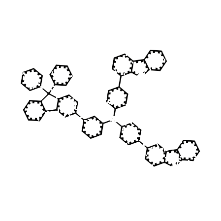 c1ccc(C2(c3ccccc3)c3ccccc3-c3cc(-c4cccc(N(c5ccc(-c6ccc7sc8ccccc8c7c6)cc5)c5ccc(-c6cccc7c6oc6ccccc67)cc5)c4)ccc32)cc1